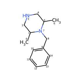 CC1CNCC(C)N1Cc1ccccc1